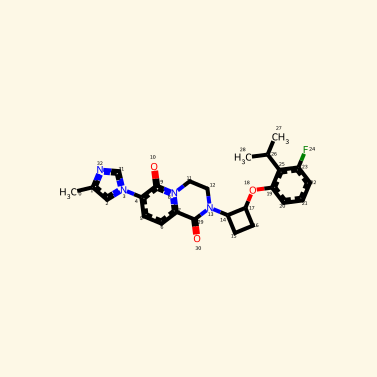 Cc1cn(-c2ccc3n(c2=O)CCN(C2CCC2Oc2cccc(F)c2C(C)C)C3=O)cn1